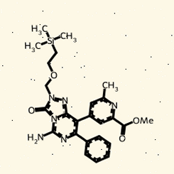 COC(=O)c1cc(-c2c(-c3ccccc3)nc(N)n3c(=O)n(COCC[Si](C)(C)C)nc23)cc(C)n1